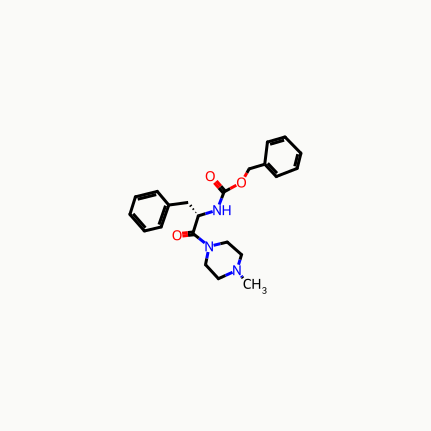 CN1CCN(C(=O)[C@H](Cc2ccccc2)NC(=O)OCc2ccccc2)CC1